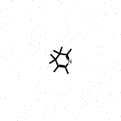 CC1=NC(C)=C(C)C(C)(C)C1(C)C